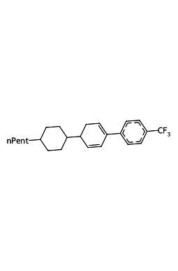 CCCCCC1CCC(C2C=CC(c3ccc(C(F)(F)F)cc3)=CC2)CC1